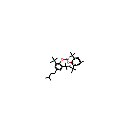 Cc1cc(C(C)(C)C)c([O][Al][O]c2c(C(C)(C)C)cc(CCC(C)C)cc2C(C)(C)C)c(C(C)(C)C)c1